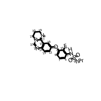 CCCS(=O)(=O)Nc1cccc(Oc2ccc3c(c2)C2=NCCCN2C=N3)c1F